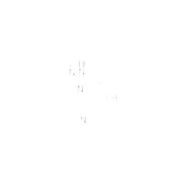 CCC1NN=CN1C#N